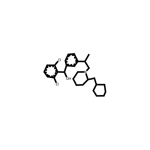 CC(CN1CCCCC1CC1CCCCC1)c1cccc(C(O)c2c(Cl)cccc2Cl)c1